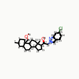 COCC12CCC(C)CC1CCC1C3CCC(C(=O)Cn4cc5ccc(Cl)cc5n4)C3(C)CCC12